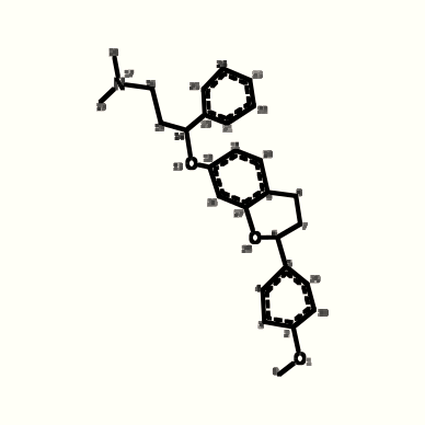 COc1ccc(C2CCc3ccc(OC(CCN(C)C)c4ccccc4)cc3O2)cc1